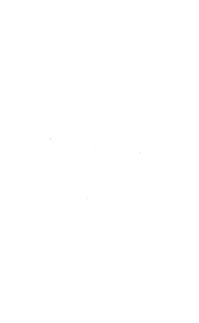 COC1=[C]C(OC)=CC[CH]1